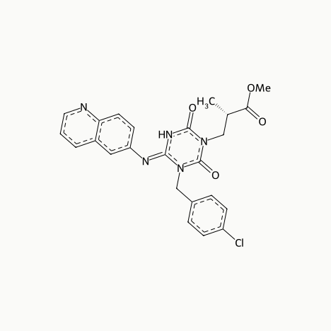 COC(=O)[C@@H](C)Cn1c(=O)[nH]/c(=N\c2ccc3ncccc3c2)n(Cc2ccc(Cl)cc2)c1=O